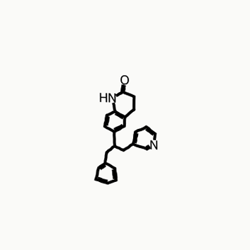 O=C1CCc2cc(C(Cc3ccccc3)Cc3cccnc3)ccc2N1